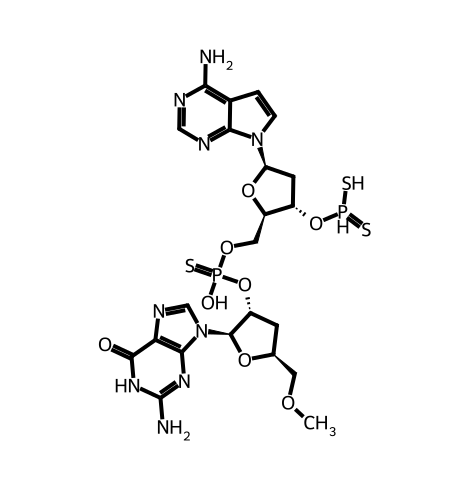 COC[C@@H]1C[C@@H](OP(O)(=S)OC[C@H]2O[C@@H](n3ccc4c(N)ncnc43)C[C@@H]2O[PH](=S)S)[C@H](n2cnc3c(=O)[nH]c(N)nc32)O1